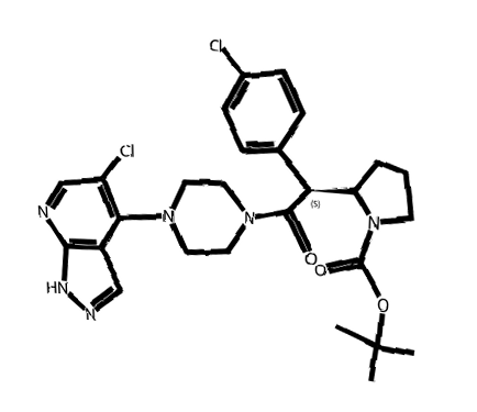 CC(C)(C)OC(=O)N1CCCC1[C@@H](C(=O)N1CCN(c2c(Cl)cnc3[nH]ncc23)CC1)c1ccc(Cl)cc1